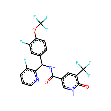 O=C(NC(c1ccc(OC(F)(F)F)c(F)c1)c1ncccc1F)c1c[nH]c(=O)c(C(F)(F)F)c1